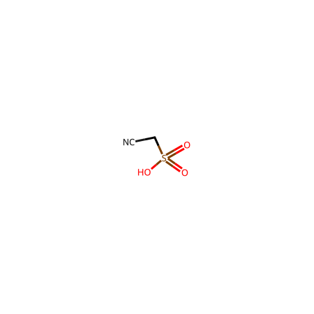 N#CCS(=O)(=O)O